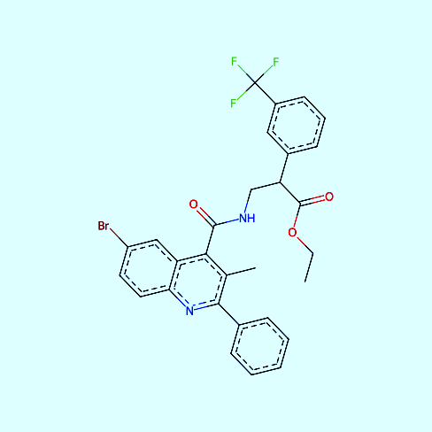 CCOC(=O)C(CNC(=O)c1c(C)c(-c2ccccc2)nc2ccc(Br)cc12)c1cccc(C(F)(F)F)c1